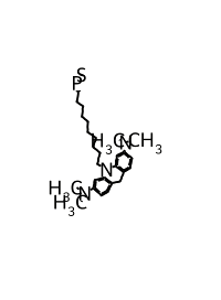 CN(C)c1ccc2c(c1)N(CCCCCCCCCC#P=S)c1cc(N(C)C)ccc1C2